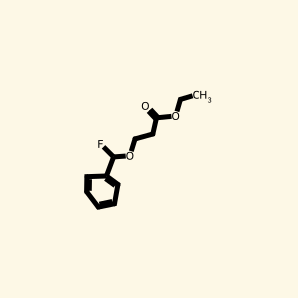 CCOC(=O)CCOC(F)c1ccccc1